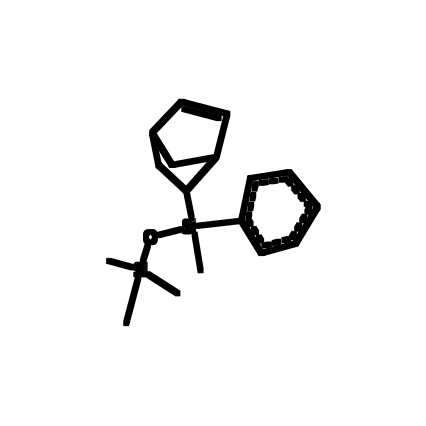 C[Si](C)(C)O[Si](C)(c1ccccc1)C1CC2C=CC1C2